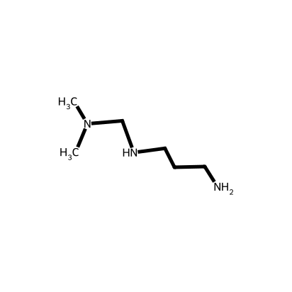 CN(C)CNCCCN